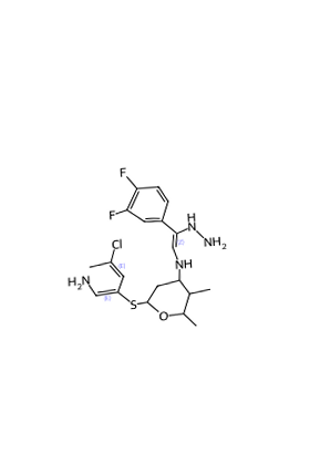 C/C(Cl)=C\C(=C/N)SC1CC(N/C=C(\NN)c2ccc(F)c(F)c2)C(C)C(C)O1